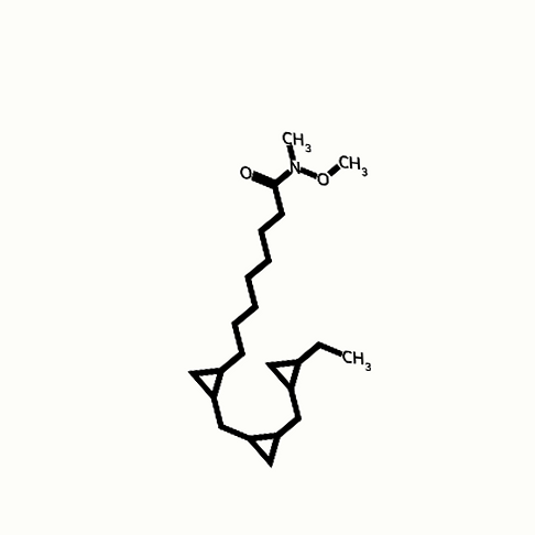 CCC1CC1CC1CC1CC1CC1CCCCCCCC(=O)N(C)OC